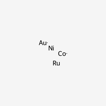 [Au].[Co].[Ni].[Ru]